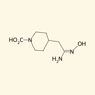 N/C(CC1CCN(C(=O)O)CC1)=N/O